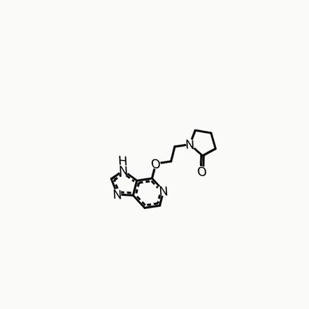 O=C1CCCN1CCOc1nccc2nc[nH]c12